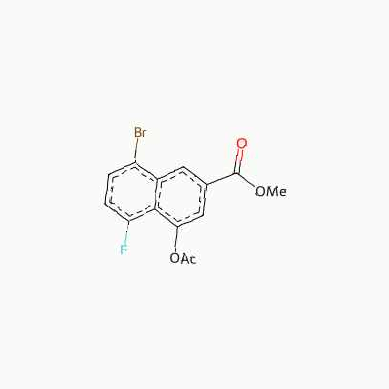 COC(=O)c1cc(OC(C)=O)c2c(F)ccc(Br)c2c1